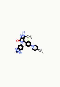 Cc1[nH]nc2c1C(c1ccc(N3CCC(C(F)(F)F)CC3)cc1F)N(c1ccc3[nH]cnc3c1)C2=O